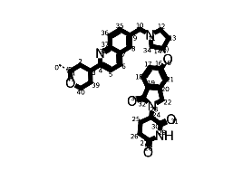 C[C@@H]1CC(c2ccc3cc(CN4CC[C@H](Oc5ccc6c(c5)CN(C5CCC(=O)NC5=O)C6=O)C4)ccc3n2)CCO1